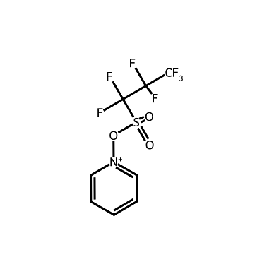 O=S(=O)(O[n+]1ccccc1)C(F)(F)C(F)(F)C(F)(F)F